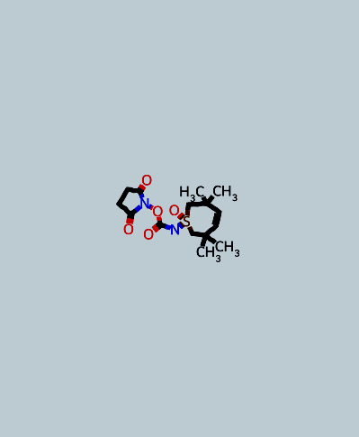 CC1(C)C=CC(C)(C)CS(=O)(=NC(=O)ON2C(=O)CCC2=O)C1